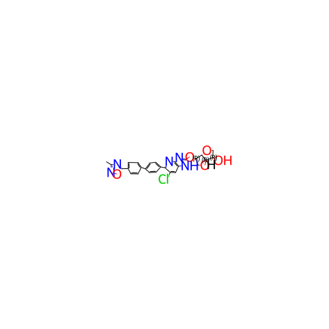 Cc1noc(-c2ccc(-c3ccc(-c4nc5nc(O[C@@H]6CO[C@H]7C6OC[C@H]7O)[nH]c5cc4Cl)cc3)cc2)n1